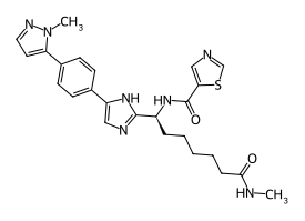 CNC(=O)CCCCC[C@H](NC(=O)c1cncs1)c1ncc(-c2ccc(-c3ccnn3C)cc2)[nH]1